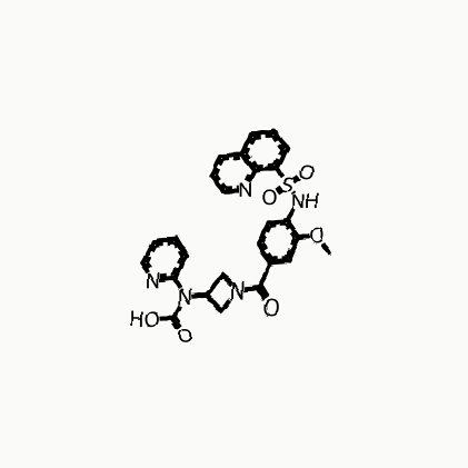 COc1cc(C(=O)N2CC(N(C(=O)O)c3ccccn3)C2)ccc1NS(=O)(=O)c1cccc2cccnc12